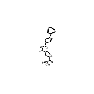 CC(NC(=O)c1ccc(-c2ccccc2)cc1)c1coc(C(=O)NO)c1